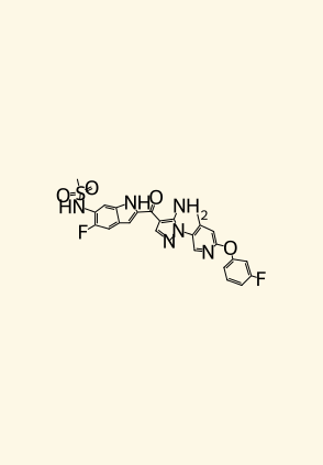 Cc1cc(Oc2cccc(F)c2)ncc1-n1ncc(C(=O)c2cc3cc(F)c(NS(C)(=O)=O)cc3[nH]2)c1N